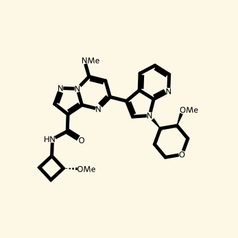 CNc1cc(-c2cn([C@@H]3CCOC[C@@H]3OC)c3ncccc23)nc2c(C(=O)NC3CC[C@H]3OC)cnn12